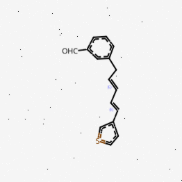 O=Cc1cccc(C/C=C/C=C/c2ccsc2)c1